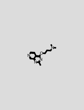 Cc1nc(OCCCN(C)C)c2ccncc2n1